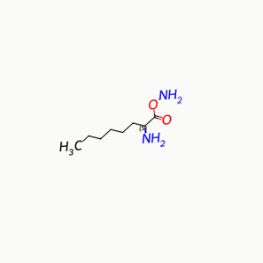 CCCCCC[C@H](N)C(=O)ON